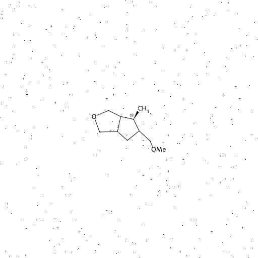 COCC1CC2COCC2[C@H]1C